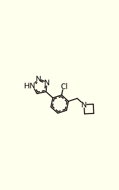 Clc1c(CN2CCC2)cccc1-c1c[nH]nn1